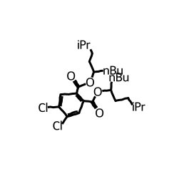 CCCCC(CCC(C)C)OC(=O)c1cc(Cl)c(Cl)cc1C(=O)OC(CCCC)CCC(C)C